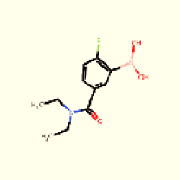 CCN(CC)C(=O)c1ccc(F)c(B(O)O)c1